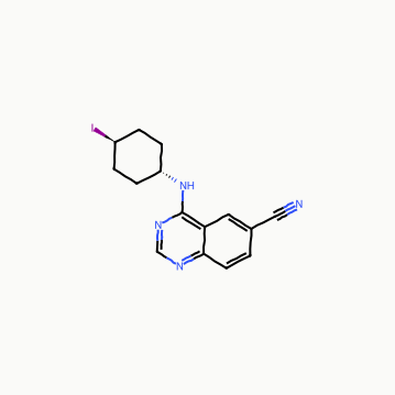 N#Cc1ccc2ncnc(N[C@H]3CC[C@H](I)CC3)c2c1